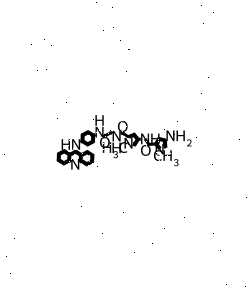 Cn1cc(NC(=O)c2cc(N)cn2C)cc1C(=O)NCC(=O)Nc1ccc(Nc2c3ccccc3nc3ccccc23)cc1